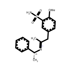 COc1ccc(C/C(C)=N/[C@H](C)c2ccccc2)cc1S(N)(=O)=O